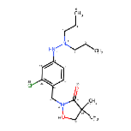 CCCN(CCC)Nc1ccc(CN2OCC(C)(C)C2=O)c(Cl)c1